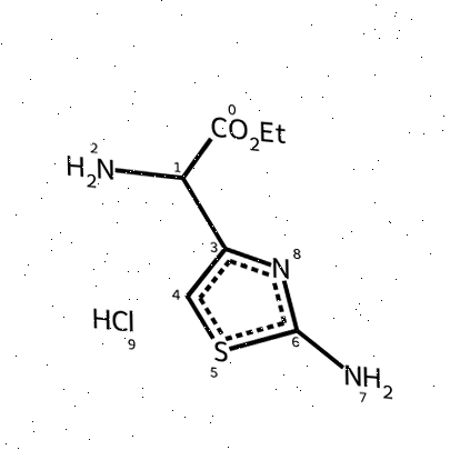 CCOC(=O)C(N)c1csc(N)n1.Cl